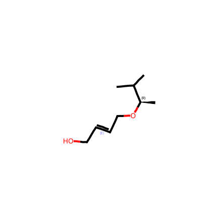 CC(C)[C@@H](C)OC/C=C/CO